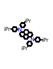 CC(C)c1ccc(N(c2ccc(C(C)C)cc2)c2ccc3ccc4c(N(c5ccc(C(C)C)cc5)c5ccc(C(C)C)cc5)ccc5c4c3c2CC5)cc1